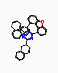 C1=CCCC(c2nc(-c3cccc4oc5cccc(-c6ccc7ccccc7c6)c5c34)nc(C3C=Cc4ccccc4C3)n2)=C1